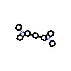 C1CCC(N2C3CCCCC3C3CC(C4CCC(C5CCC6C(C5)C5CCCCC5N6C5CCCCC5)CC4)CCC32)CC1